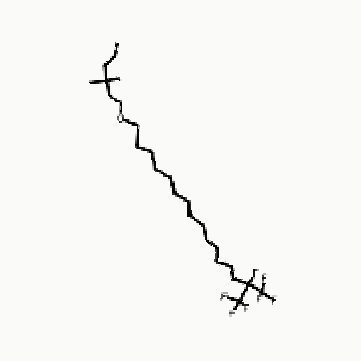 CCCC(C)(C)CCOCCCCCCCCCCCCCCC(F)(C(F)(F)F)C(F)(F)F